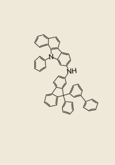 c1ccc(-c2cccc(C3(c4ccccc4)c4ccccc4-c4ccc(Nc5ccc6c7ccc8ccccc8c7n(-c7ccccc7)c6c5)cc43)c2)cc1